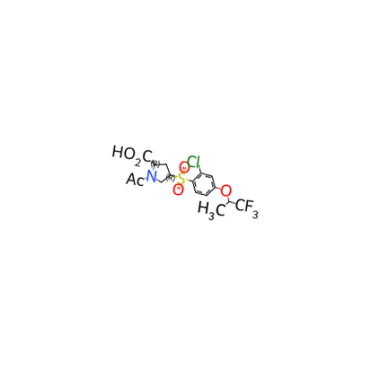 CC(=O)N1C[C@H](S(=O)(=O)c2ccc(OC(C)C(F)(F)F)cc2Cl)C[C@@H]1C(=O)O